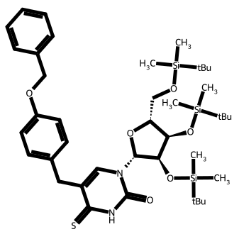 CC(C)(C)[Si](C)(C)OC[C@H]1O[C@@H](n2cc(Cc3ccc(OCc4ccccc4)cc3)c(=S)[nH]c2=O)[C@H](O[Si](C)(C)C(C)(C)C)[C@@H]1O[Si](C)(C)C(C)(C)C